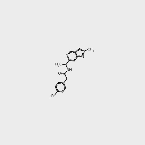 CC(C)c1ccc(CC(=O)NC(C)c2cc3nn(C)cc3cn2)cc1